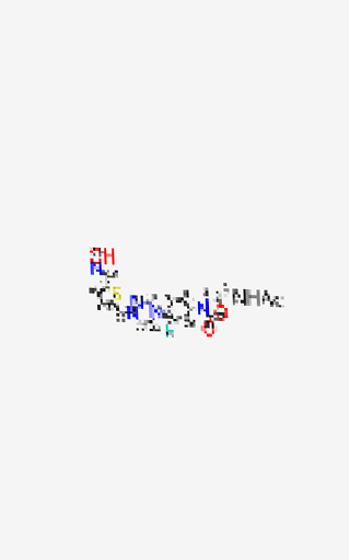 CC(=O)NC[C@H]1CN(c2ccc(N3C=NN(Cc4ccc(/C=N/O)s4)CC3)c(F)c2)C(=O)O1